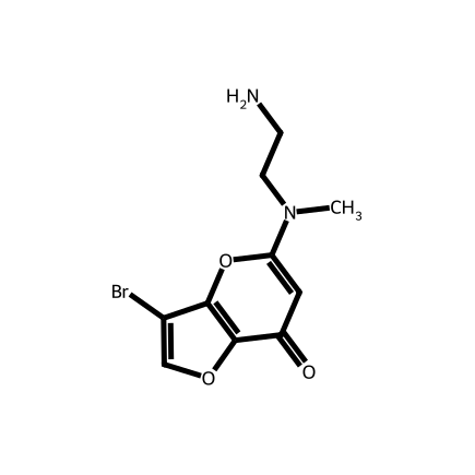 CN(CCN)c1cc(=O)c2occ(Br)c2o1